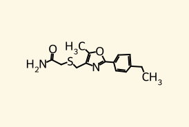 CCc1ccc(-c2nc(CSCC(N)=O)c(C)o2)cc1